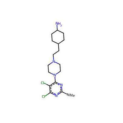 CNc1nc(Cl)c(Cl)c(N2CCN(CCC3CCC(N)CC3)CC2)n1